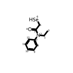 CCN(C(=O)C[SeH])c1ccccc1